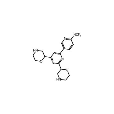 FC(F)(F)Nc1ccc(-c2cc(C3CNCCO3)nc(C3CNCCO3)n2)cn1